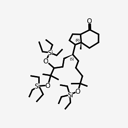 CC[Si](CC)(CC)OC(CC[C@H](CCCC(C)(C)O[Si](CC)(CC)CC)C1CCC2C(=O)CCC[C@@]21C)C(C)(C)O[Si](CC)(CC)CC